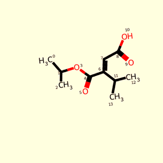 CC(C)OC(=O)C(=CC(=O)O)C(C)C